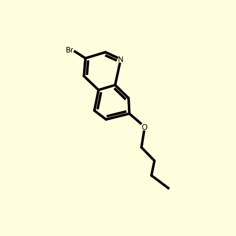 CCCCOc1ccc2cc(Br)cnc2c1